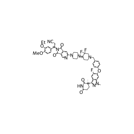 CCOc1cc([C@@H](CC#N)N2C(=O)c3cnc(N4CCN([C@@H]5CCN(Cc6ccc(Oc7cc8c(cc7F)c([C@@]7(C)CCC(=O)NC7=O)nn8C)cc6)CC5(F)F)CC4)cc3C2=O)ccc1OC